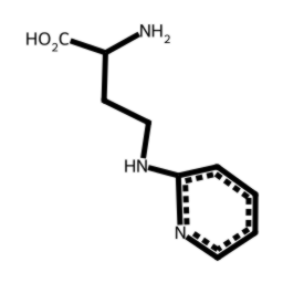 NC(CCNc1ccccn1)C(=O)O